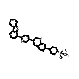 C[Si](C)(C)c1ccc(-c2ccc3cc(-c4ccc(-c5cccc6c5oc5ccccc56)nc4)cnc3c2)cc1